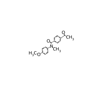 COc1ccc(N(C)C(=O)c2ccc(C(C)=O)cc2)cc1